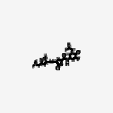 CN(C)Cc1cc(C#Cc2cc(C(=O)Nc3cc(F)c(=O)n(CC(F)F)c3)sc2Cl)n(C)n1